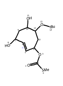 CSC(=O)OC1/C=C/C(O)CC(O)C(OC(C)(C)C)C1